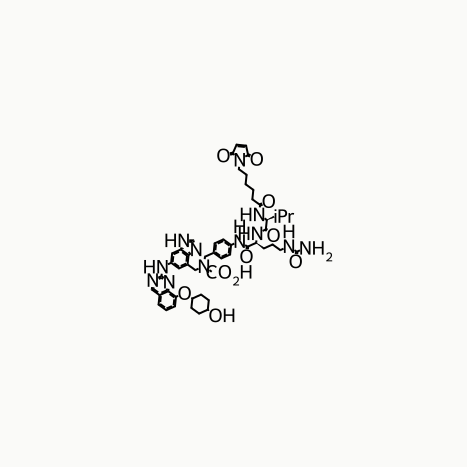 CC(C)[C@H](NC(=O)CCCCCN1C(=O)C=CC1=O)C(=O)N[C@@H](CCCNC(N)=O)C(=O)Nc1ccc(CN(Cc2cc(Nc3ncc4cccc(O[C@H]5CC[C@@H](O)CC5)c4n3)cc3[nH]cnc23)C(=O)O)cc1